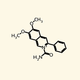 COc1cc2cc(-c3ccccc3)[n+](C(N)=O)cc2cc1OC